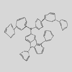 c1ccc(-c2cccc(-c3ccc(N(c4cccc(-c5ccccc5)c4)c4ccc5c(c4)c4c(-c6ccccc6)cccc4n5-c4ccccc4)cc3)c2)cc1